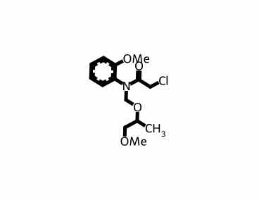 COCC(C)OCN(C(=O)CCl)c1ccccc1OC